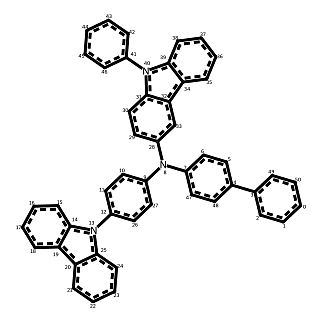 c1ccc(-c2ccc(N(c3ccc(-n4c5ccccc5c5ccccc54)cc3)c3ccc4c(c3)c3ccccc3n4-c3ccccc3)cc2)cc1